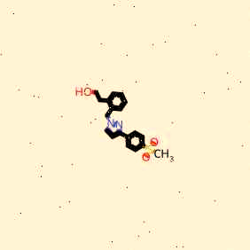 CS(=O)(=O)c1ccc(-c2ccn(Cc3ccccc3CCO)n2)cc1